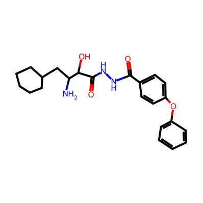 NC(CC1CCCCC1)C(O)C(=O)NNC(=O)c1ccc(Oc2ccccc2)cc1